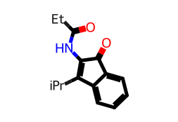 CCC(=O)NC1=C(C(C)C)c2ccccc2C1=O